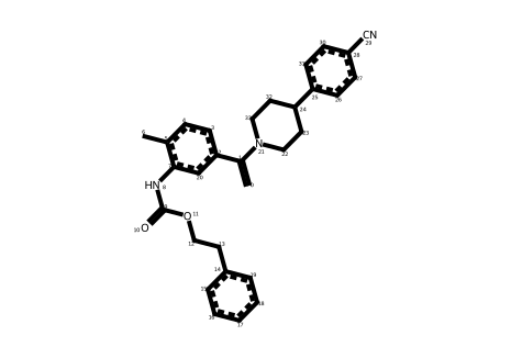 C=C(c1ccc(C)c(NC(=O)OCCc2ccccc2)c1)N1CCC(c2ccc(C#N)cc2)CC1